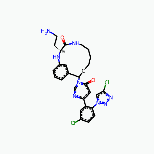 NCC[C@H]1Nc2cccc(c2)C(n2cnc(-c3cc(Cl)ccc3-n3cc(Cl)nn3)cc2=O)CCCCCNC1=O